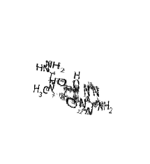 CN(CCCNN)C[C@H]1O[C@@H](n2cnc3c(N)ncnc32)[C@H](O)[C@@H]1O